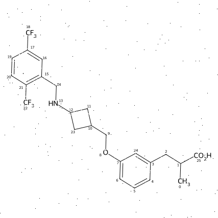 CC(Cc1cccc(OCC2CC(NCc3cc(C(F)(F)F)ccc3C(F)(F)F)C2)c1)C(=O)O